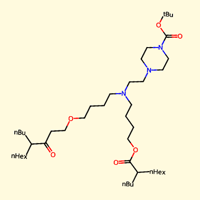 CCCCCCC(CCCC)C(=O)CCOCCCCN(CCCCOC(=O)C(CCCC)CCCCCC)CCN1CCN(C(=O)OC(C)(C)C)CC1